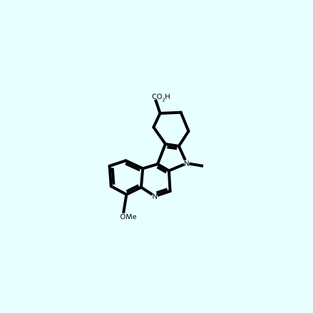 COc1cccc2c1ncc1c2c2c(n1C)CCC(C(=O)O)C2